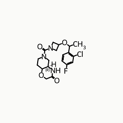 CC(OC1CN(C(=O)N2CCC3OCC(=O)N[C@@H]3C2)C1)c1ccc(F)cc1Cl